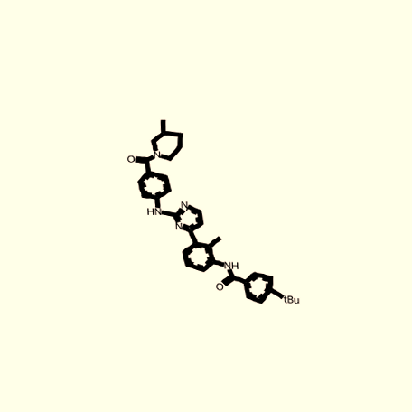 Cc1c(NC(=O)c2ccc(C(C)(C)C)cc2)cccc1-c1ccnc(Nc2ccc(C(=O)N3CCCC(C)C3)cc2)n1